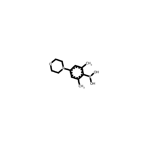 Cc1cc(N2CCOCC2)cc(C)c1B(O)O